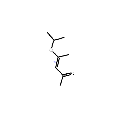 CC(=O)/C=C(\C)OC(C)C